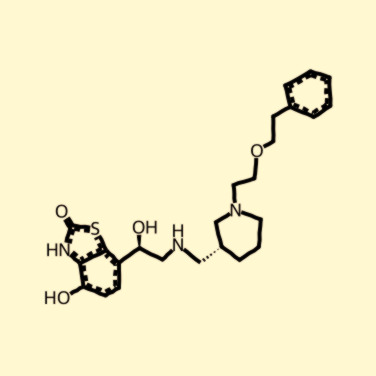 O=c1[nH]c2c(O)ccc([C@@H](O)CNC[C@H]3CCCN(CCOCCc4ccccc4)C3)c2s1